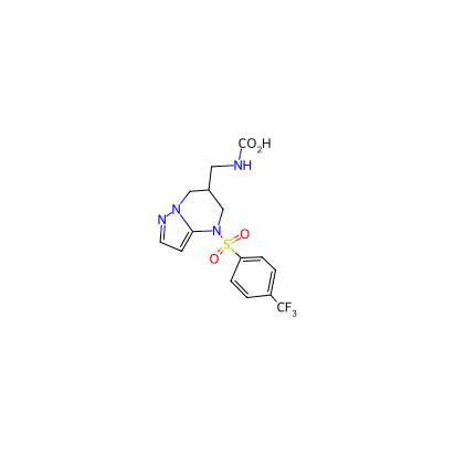 O=C(O)NCC1CN(S(=O)(=O)c2ccc(C(F)(F)F)cc2)c2ccnn2C1